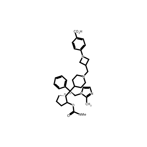 CNC(=O)OC1CCC[C@@H]1[C@](Cn1ccnc1C)(c1ccccc1)C1CCN(CC2CN(c3ccc(C(=O)O)cc3)C2)CC1